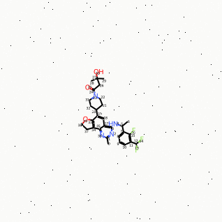 Cc1nc(NC(C)c2cccc(C(F)F)c2F)c2cc(C3CCN(C(=O)CC(C)(C)O)CC3)c3c(c2n1)CCO3